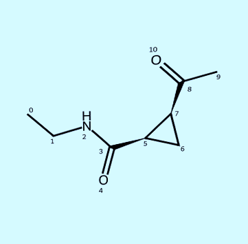 CCNC(=O)[C@@H]1C[C@@H]1C(C)=O